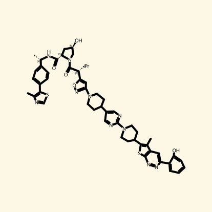 Cc1ncsc1-c1ccc([C@H](C)NC(=O)[C@@H]2C[C@@H](O)CN2C(=O)[C@@H](c2cc(N3CCC(c4cnc(N5CCC(c6sc7nnc(-c8ccccc8O)cc7c6C)CC5)nc4)CC3)no2)C(C)C)cc1